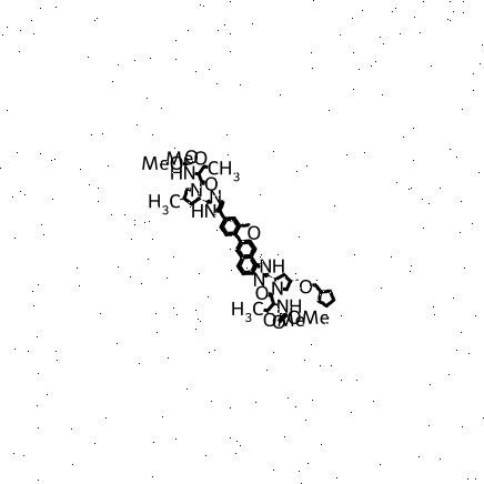 COC(=O)NC(C(=O)N1C[C@@H](C)C[C@H]1c1ncc(-c2ccc3c(c2)COc2cc4c(ccc5nc([C@@H]6C[C@H](COCC7CCCC7)CN6C(=O)[C@@H](NC(=O)OC)[C@H](C)OC)[nH]c54)cc2-3)[nH]1)[C@H](C)OC